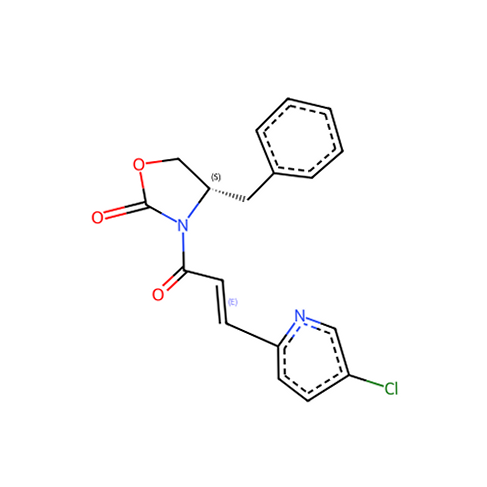 O=C(/C=C/c1ccc(Cl)cn1)N1C(=O)OC[C@@H]1Cc1ccccc1